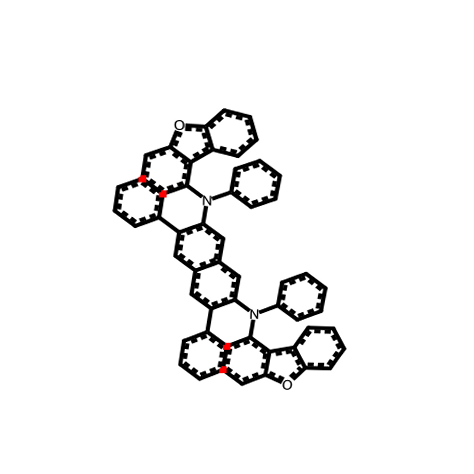 c1ccc(-c2cc3cc(-c4ccccc4)c(N(c4ccccc4)c4cccc5oc6ccccc6c45)cc3cc2N(c2ccccc2)c2cccc3oc4ccccc4c23)cc1